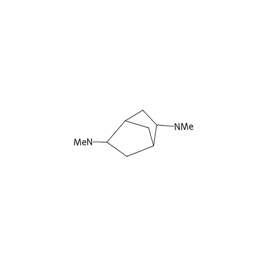 CNC1CC2CC1CC2NC